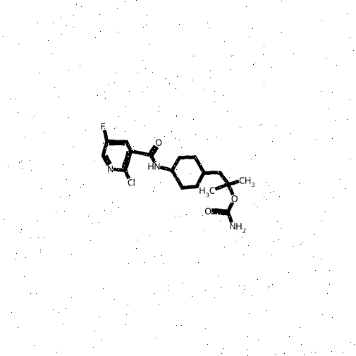 CC(C)(CC1CCC(NC(=O)c2cc(F)cnc2Cl)CC1)OC(N)=O